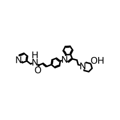 O=C(C=Cc1ccc(-n2cc(CCN3CCCC(O)C3)c3ccccc32)cc1)NCc1cccnc1